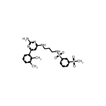 Cc1cccc(-c2cc(NCCCNS(=O)(=O)c3cccc(S(C)(=O)=O)c3)nc(N)n2)c1C